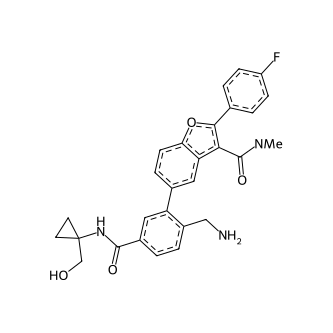 CNC(=O)c1c(-c2ccc(F)cc2)oc2ccc(-c3cc(C(=O)NC4(CO)CC4)ccc3CN)cc12